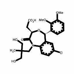 COc1cccc([C@H]2O[C@H](CC(=O)O)C(=O)N(CC(C)(CO)CO)c3ccc(Cl)cc32)c1OC